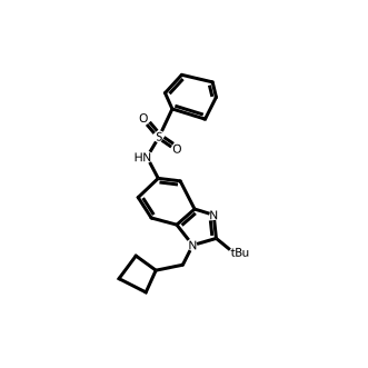 CC(C)(C)c1nc2cc(NS(=O)(=O)c3ccccc3)ccc2n1CC1CCC1